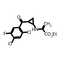 C=C(NC1CC1C(=O)c1cc(F)c(Cl)cc1Cl)C(=O)OCC